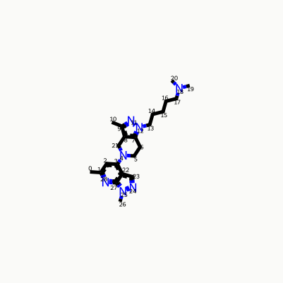 Cc1cc(N2CCc3c(c(C)nn3CCCCCN(C)C)C2)c2cnn(C)c2n1